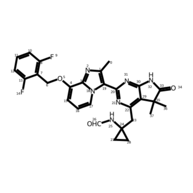 Cc1nc2c(OCc3c(F)cccc3F)cccn2c1-c1nc(CC2(NC=O)CC2)c2c(n1)NC(=O)C2(C)C